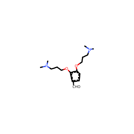 CN(C)CCCOc1ccc(C=O)cc1OCCCN(C)C